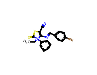 CC[N+]1(c2ccccc2)C(=S)SC(C#N)=C1N=Cc1ccc(Br)cc1